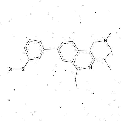 CCc1nc2c(c3ccc(-c4cccc(SBr)c4)cc13)CN(C)CN2C